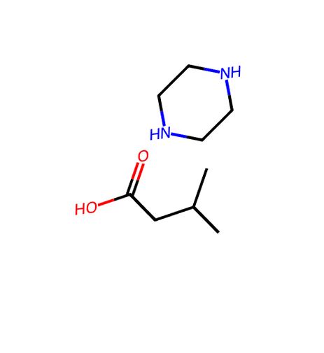 C1CNCCN1.CC(C)CC(=O)O